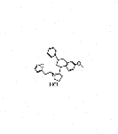 COc1ccc2c(c1)CC(c1ccccc1)CC2C1CCCN1CCc1ccco1.Cl